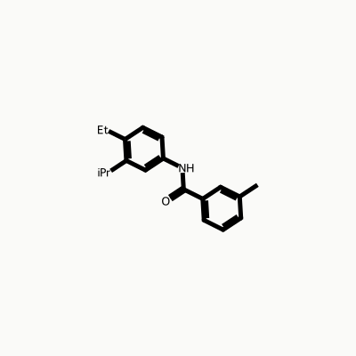 CCc1ccc(NC(=O)c2cccc(C)c2)cc1C(C)C